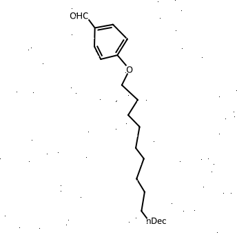 CCCCCCCCCCCCCCCCCCCOc1ccc(C=O)cc1